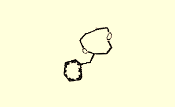 [CH]1CCOC(Cc2ccccc2)CCOC1